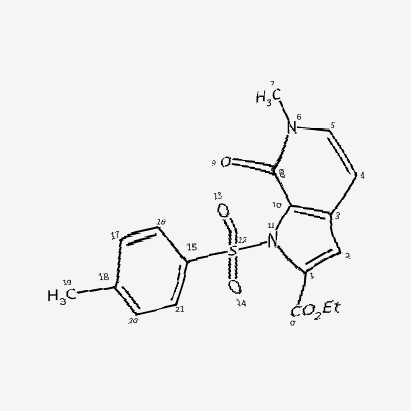 CCOC(=O)c1cc2ccn(C)c(=O)c2n1S(=O)(=O)c1ccc(C)cc1